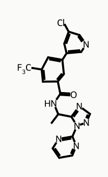 CC(NC(=O)c1cc(-c2cncc(Cl)c2)cc(C(F)(F)F)c1)c1ncnn1-c1ncccn1